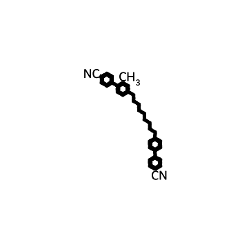 Cc1cc(CCCCCCCCCc2ccc(-c3ccc(C#N)cc3)cc2)ccc1-c1ccc(C#N)cc1